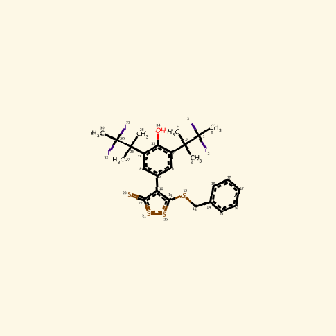 CC(I)(I)C(C)(C)c1cc(-c2c(SCc3ccccc3)ssc2=S)cc(C(C)(C)C(C)(I)I)c1O